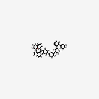 c1ccc(-n2ccc3ccc4c5cc(-c6cccc(-c7ccc8c9ccccc9c9ccccc9c8c7)c6)ccc5n(-c5ccccc5)c4c32)cc1